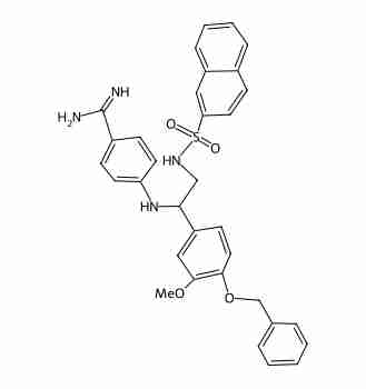 COc1cc(C(CNS(=O)(=O)c2ccc3ccccc3c2)Nc2ccc(C(=N)N)cc2)ccc1OCc1ccccc1